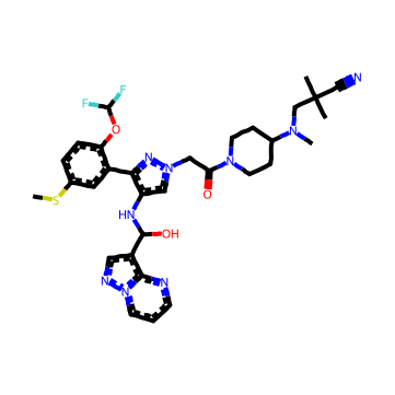 CSc1ccc(OC(F)F)c(-c2nn(CC(=O)N3CCC(N(C)CC(C)(C)C#N)CC3)cc2NC(O)c2cnn3cccnc23)c1